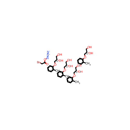 Cc1ccccc1OC[C@@H](O)CO.Cc1ccccc1OC[C@@H](O)CO.Cc1ccccc1OC[C@@H](O)CO.Cc1ccccc1OC[C@@H](O)CO.[N-]=[N+]=NOC(=O)CBr